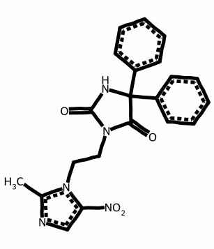 Cc1ncc([N+](=O)[O-])n1CCN1C(=O)NC(c2ccccc2)(c2ccccc2)C1=O